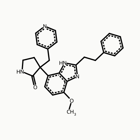 COc1ccc(C2(Cc3ccncc3)CCNC2=O)c2[nH]c(CCc3ccccc3)nc12